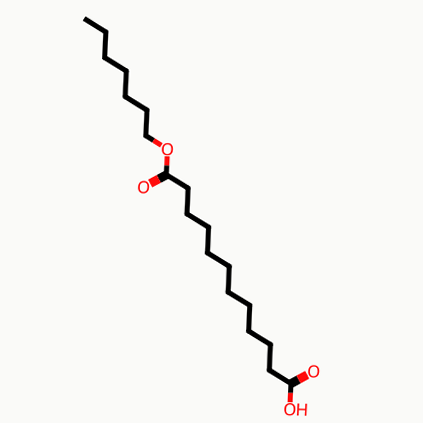 CCCCCCCOC(=O)CCCCCCCCCCC(=O)O